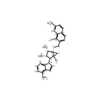 Nc1ccc2ccc(CC[C@]34C[C@@H]3[C@@H](n3ccc5c(N)ncnc53)[C@H](O)[C@@H]4O)c(F)c2n1